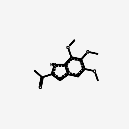 COc1cc2cc(C(C)=O)[nH]c2c(OC)c1OC